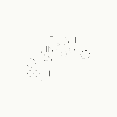 CC[C@@H](C(=N)C(=O)OCc1ccccc1)C(=O)Nc1ncc(-c2cccc(C(=O)O)c2)s1